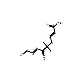 CC(C)(C)C(=O)/C=C/CC(C)(C)C(=O)/C=C/CF